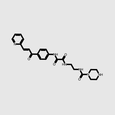 O=C(NCCNC(=O)N1CCNCC1)C(=O)Nc1ccc(C(=O)C=Cc2ccccn2)cc1